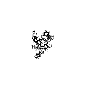 CCC1CN(Cc2cc([C@@H](c3ccc4c(nnn4CC)c3C)C(C)(C)NC(=O)c3ccoc3)ccc2C)S(O)(O)c2ccccc2O1